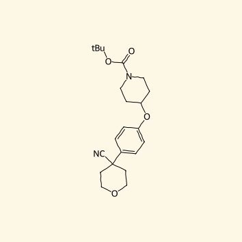 CC(C)(C)OC(=O)N1CCC(Oc2ccc(C3(C#N)CCOCC3)cc2)CC1